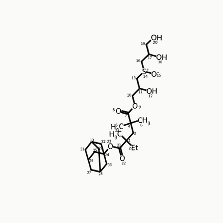 CCC(C)(CC(C)(C)C(=O)OCC(O)C[S+]([O-])CC(O)CO)C(=O)OC12CC3CC(CC(C3)C1)C2